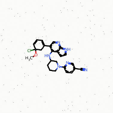 COC1(Cl)C=CC=C(c2cnc3[nH]ccc3c2NC2CCCN(c3ccc(C#N)cn3)C2)C1